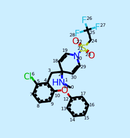 CNC1(Cc2c(Cl)cccc2Oc2ccccc2)C=CN(S(=O)(=O)CC(F)(F)F)C=C1